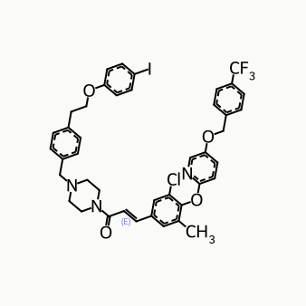 Cc1cc(/C=C/C(=O)N2CCN(Cc3ccc(CCOc4ccc(I)cc4)cc3)CC2)cc(Cl)c1Oc1ccc(OCc2ccc(C(F)(F)F)cc2)cn1